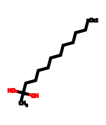 CCCCCCCCCCCCCCCCCC[Si](C)(O)O